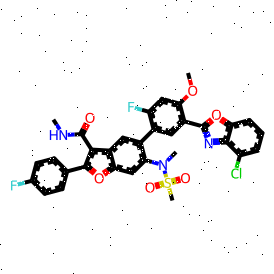 CNC(=O)c1c(-c2ccc(F)cc2)oc2cc(N(C)S(C)(=O)=O)c(-c3cc(-c4nc5c(Cl)cccc5o4)c(OC)cc3F)cc12